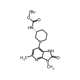 Cc1cc(N2CCC[C@@H](NC(=O)OC(C)(C)C)C2)c2[nH]c(=O)n(C)c2n1